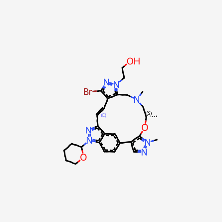 C[C@H]1CN(C)Cc2c(c(Br)nn2CCO)/C=C/c2nn(C3CCCCO3)c3ccc(cc23)-c2cnn(C)c2O1